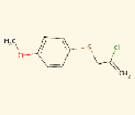 C=C(Cl)CSc1ccc(OC)cc1